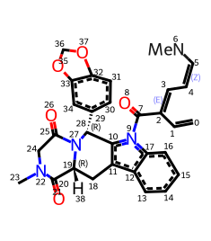 C=C/C(=C\C=C/NC)C(=O)n1c2c(c3ccccc31)C[C@@H]1C(=O)N(C)CC(=O)N1[C@@H]2c1ccc2c(c1)OCO2